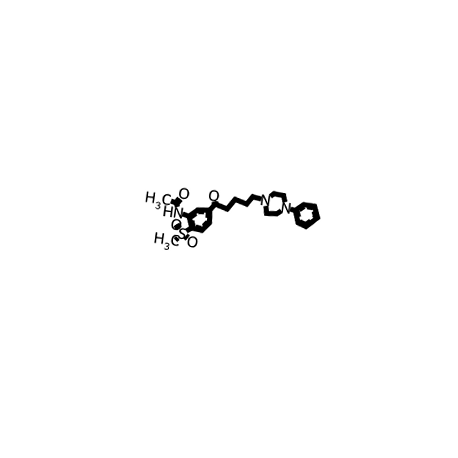 CC(=O)Nc1cc(C(=O)CCCCN2CCN(c3ccccc3)CC2)ccc1S(C)(=O)=O